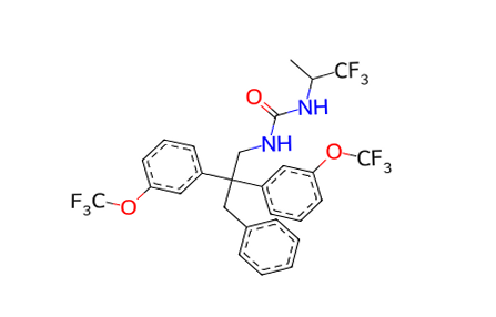 CC(NC(=O)NCC(Cc1ccccc1)(c1cccc(OC(F)(F)F)c1)c1cccc(OC(F)(F)F)c1)C(F)(F)F